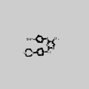 Cc1cnc(Nc2ccc(N3CCOCC3)cc2)nc1Sc1ccc(C=O)cc1